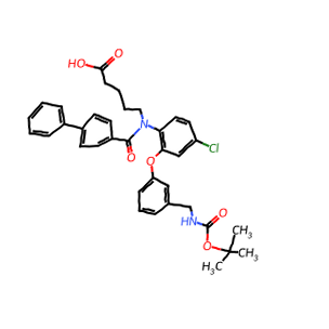 CC(C)(C)OC(=O)NCc1cccc(Oc2cc(Cl)ccc2N(CCCCC(=O)O)C(=O)c2ccc(-c3ccccc3)cc2)c1